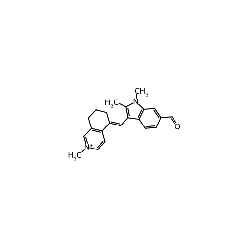 Cc1c(/C=C2\CCCc3c[n+](C)ccc32)c2ccc(C=O)cc2n1C